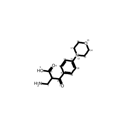 NCC(C(=O)O)C(=O)c1ccc(N2CCOCC2)cc1